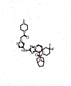 CN1CCN(C(=O)Cn2cc(Nc3nc4c(N5CC6CCC(C5)N6C(=O)N5CCC(F)(F)CC5)cccn4n3)cn2)CC1